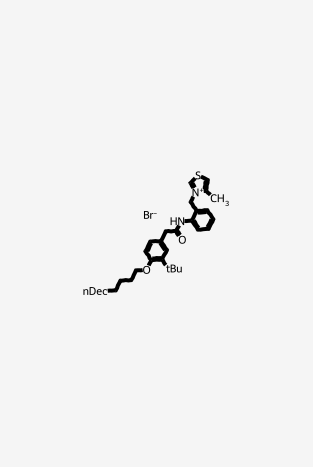 CCCCCCCCCCCCCCOc1ccc(CC(=O)Nc2ccccc2C[n+]2cscc2C)cc1C(C)(C)C.[Br-]